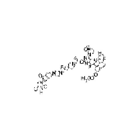 CCc1c(F)ccc2cc(OCOC)cc(-c3ncc4c(N5CCC[C@]6(CCO6)C5)nc(OCC5(CN6CCC7(CC6)CC(F)(CN6CCN(c8ccc9c(c8)CN([C@H]8CCC(=O)NC8=O)C9=O)CC6)C7)CC5)nc4c3F)c12